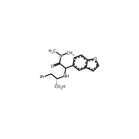 CC(C)C[C@H](NC(C(=O)N(C)C)c1ccc2occc2c1)C(=O)O